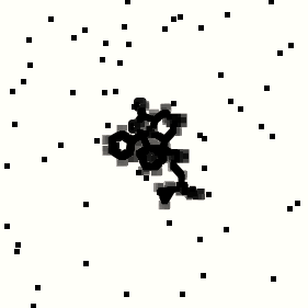 CC(=O)N(CCNC(=O)C1CNCC2C(=O)OC(c3ccccc3)(c3ccccc3)N12)C1CC1